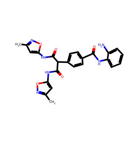 Cc1cc(NC(=O)C(C(=O)Nc2cc(C)no2)c2ccc(C(=O)Nc3ccccc3N)cc2)on1